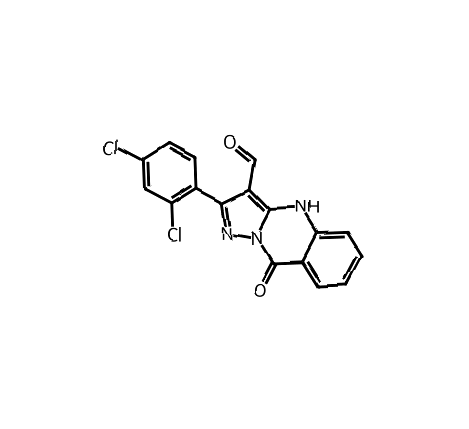 O=Cc1c(-c2ccc(Cl)cc2Cl)nn2c(=O)c3ccccc3[nH]c12